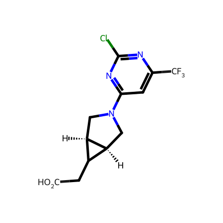 O=C(O)CC1[C@H]2CN(c3cc(C(F)(F)F)nc(Cl)n3)C[C@@H]12